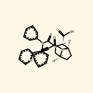 O=C(O)[C@@H]1[C@H]2CC[C@@H](CN1C(=O)N(c1ccccc1)c1ccccc1)N2C(=O)C#Cc1ccccn1